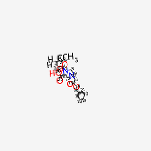 CC(C)(C)OC(=O)N1CCN(CC(=O)OCc2ccccc2)CC1C(=O)O